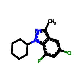 Cc1nn(C2CCCCC2)c2c(F)cc(Cl)cc12